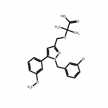 COc1cccc(-c2cc(COC(C)(C)C(=O)O)nn2Cc2cccc(Cl)c2)c1